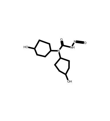 O=NNC(=O)N(C1CCC(O)CC1)C1CCC(O)CC1